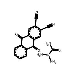 N#Cc1cc2c(cc1C#N)C(=O)c1ccccc1C2=O.NC(=O)N(N)N